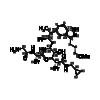 COCCCc1n[nH]c2ccc(C(C)[C@@H](C[C@H](NC(=O)[C@@H](NC(=O)CN)C(C)C)[C@@H](O)C[C@H](C(=O)NCC3CC3)C(C)C)C(C)C)cc12